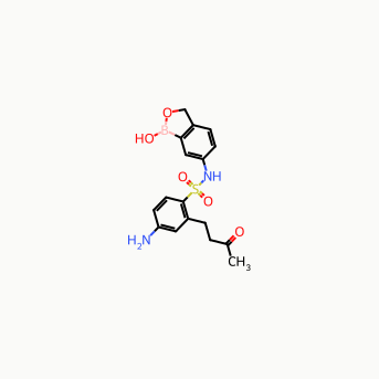 CC(=O)CCc1cc(N)ccc1S(=O)(=O)Nc1ccc2c(c1)B(O)OC2